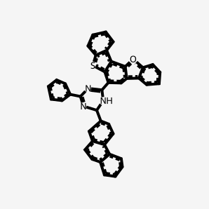 c1ccc(C2=NC(c3ccc4c(ccc5ccccc54)c3)NC(c3cc4c5ccccc5oc4c4c3sc3ccccc34)=N2)cc1